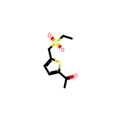 CCS(=O)(=O)Cc1ccc(C(C)=O)s1